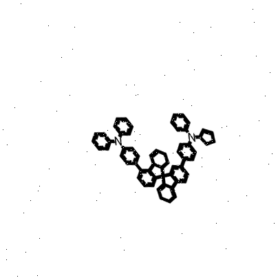 C1=CC(N(c2ccccc2)c2ccc(-c3ccc4c(c3)C3(C5=CCCC=C54)c4cccc(-c5ccc(N(c6ccccc6)c6ccccc6)cc5)c4C4C=CCCC43)cc2)CC1